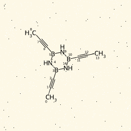 CC#CB1NB(C#CC)NB(C#CC)N1